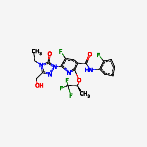 CCn1c(CO)nn(-c2nc(O[C@@H](C)C(F)(F)F)c(C(=O)Nc3ccccc3F)cc2F)c1=O